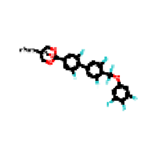 CCCCCC12COC(c3cc(F)c(-c4cc(F)c(C(F)(F)Oc5cc(F)c(F)c(F)c5)c(F)c4)c(F)c3)(OC1)OC2